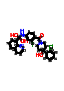 O=C(c1ccc(NC(O)(O)c2cccc3cccnc23)cc1F)N1CCC(O)(c2ccccc2Cl)CC1